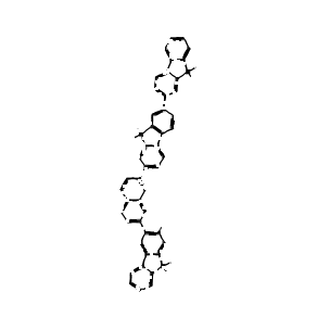 CC1(C)c2ccccc2-c2ccc(-c3ccc4c(c3)C(C)(C)c3cc(-c5ccc6ccc(-c7cc8c(cc7C=O)C(C)(C)c7ccccc7-8)cc6c5)ccc3-4)cc21